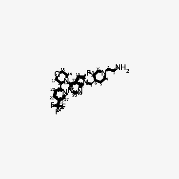 NCCN1CC[C@@H](Cn2ccc3c(N4CCOC[C@@H]4c4ccc(C(F)(F)F)cn4)ncnc32)[C@H](F)C1